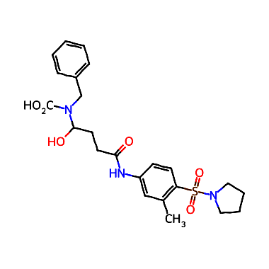 Cc1cc(NC(=O)CCC(O)N(Cc2ccccc2)C(=O)O)ccc1S(=O)(=O)N1CCCC1